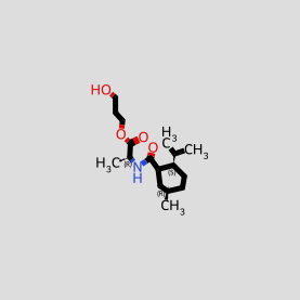 CC(C)[C@@H]1CC[C@@H](C)CC1C(=O)N[C@H](C)C(=O)OCCCO